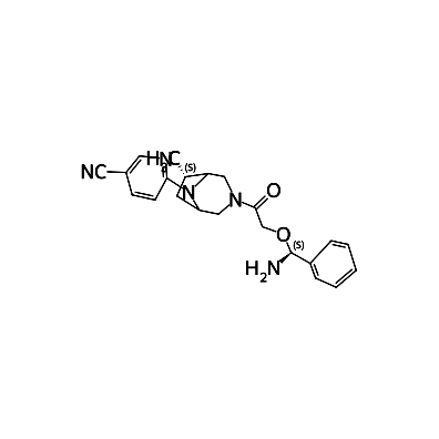 C[C@H]1CC2CN(C(=O)CO[C@H](N)c3ccccc3)CC1N2c1ccc(C#N)cn1